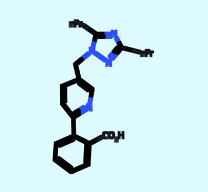 CCCc1nc(CCC)n(Cc2ccc(-c3ccccc3C(=O)O)nc2)n1